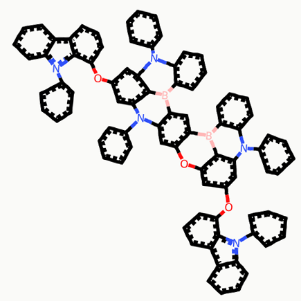 c1ccc(N2c3ccccc3B3c4cc5c(cc4Oc4cc(Oc6cccc7c8ccccc8n(-c8ccccc8)c67)cc2c43)N(c2ccccc2)c2cc(Oc3cccc4c6ccccc6n(-c6ccccc6)c34)cc3c2B5c2ccccc2N3c2ccccc2)cc1